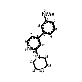 CNc1cccc(-c2ccnc(N3CCOCC3)c2)c1